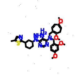 COC1=CCC(OC)=C(CN(Cc2ccc(OC)cc2OC)c2ncnc(N(N)C3CCCC(c4ncc(C)s4)C3)c2N)C=C1